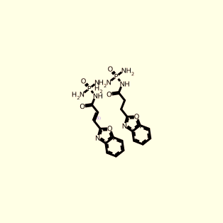 NP(N)(=O)NC(=O)/C=C/c1nc2ccccc2o1.NP(N)(=O)NC(=O)CCc1nc2ccccc2o1